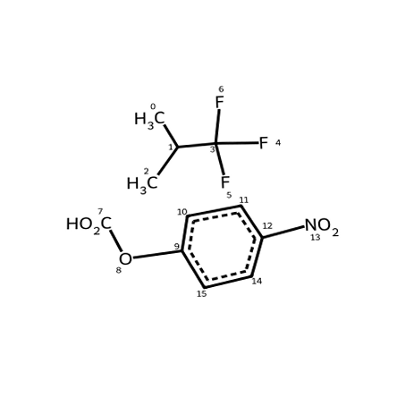 CC(C)C(F)(F)F.O=C(O)Oc1ccc([N+](=O)[O-])cc1